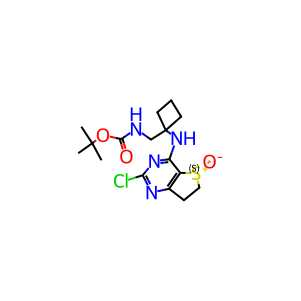 CC(C)(C)OC(=O)NCC1(Nc2nc(Cl)nc3c2[S@+]([O-])CC3)CCC1